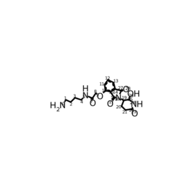 NCCCCNC(=O)COc1cccc2c1C(=O)N(C1CCC(=O)NC1O)C2=O